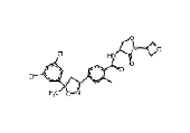 Cc1cc(C2=NOC(c3cc(Cl)cc(Cl)c3)(C(F)(F)F)C2)ccc1C(=O)NC1CON(C2COC2)C1=O